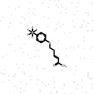 CC(=O)/C=C/CCSc1ccc(S(F)(F)(F)(F)F)cc1